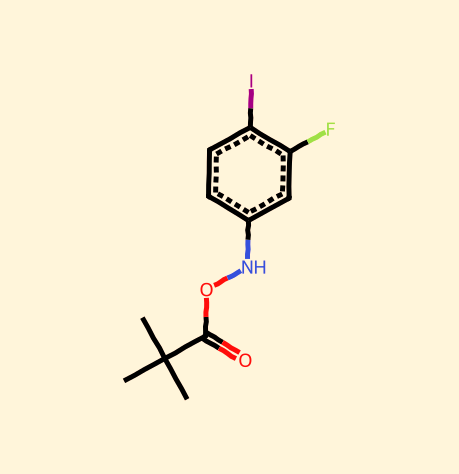 CC(C)(C)C(=O)ONc1ccc(I)c(F)c1